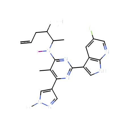 C=CCC(C(=O)O)C(C)N(I)c1nc(-c2c[nH]c3ncc(F)cc23)nc(-c2cnn(CC)c2)c1C